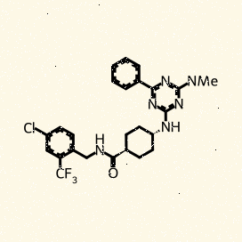 CNc1nc(N[C@H]2CC[C@H](C(=O)NCc3ccc(Cl)cc3C(F)(F)F)CC2)nc(-c2ccccc2)n1